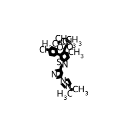 COC(=O)[C@@H](OC(C)(C)C)c1c(C)cc2nc(-c3cncc(N4CCN(C(C)C)CC4)c3)sc2c1-c1ccc(Cl)cc1